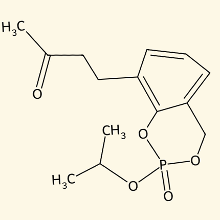 CC(=O)CCc1cccc2c1OP(=O)(OC(C)C)OC2